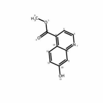 COC(=O)c1ccnc2cc(O)ccc12